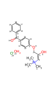 C[N+](C)(C)/C=C(/O)COc1ccc(C(=O)c2ccccc2)cc1.O.[Cl-]